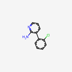 Nc1ncccc1-c1ccccc1Cl